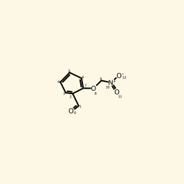 O=Cc1ccccc1OC[N+](=O)[O-]